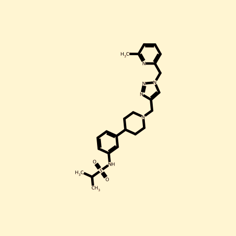 Cc1cccc(Cn2cc(CN3CCC(c4cccc(NS(=O)(=O)C(C)C)c4)CC3)nn2)n1